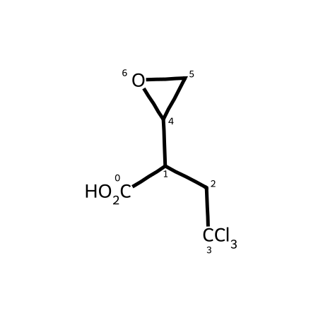 O=C(O)C(CC(Cl)(Cl)Cl)C1CO1